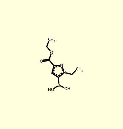 CCOC(=O)c1cc(B(O)O)n(CC)n1